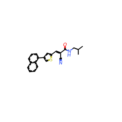 CC(C)CNC(=O)/C(C#N)=C/c1cc(-c2cccc3ccccc23)cs1